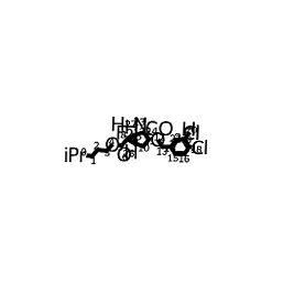 CC(C)CCCOC(=O)[C@@]1(F)[C@@H]2C[C@@H](OCc3ccc(Cl)c(Cl)c3)[C@@](N)(C(=O)O)[C@@H]21